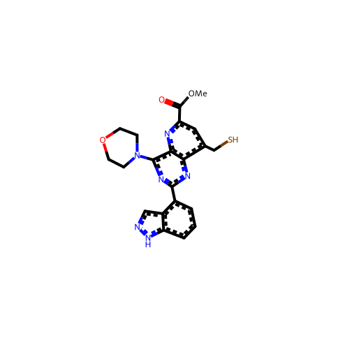 COC(=O)c1cc(CS)c2nc(-c3cccc4[nH]ncc34)nc(N3CCOCC3)c2n1